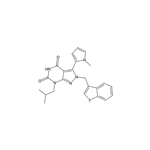 CC(C)Cn1c(=O)[nH]c(=O)c2c(-c3cccn3C)n(Cc3csc4ccccc34)nc21